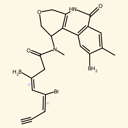 B/C(=C/C(Br)=C\C#C)CC(=O)N(C)C1COCc2[nH]c(=O)c3cc(C)c(B)cc3c21